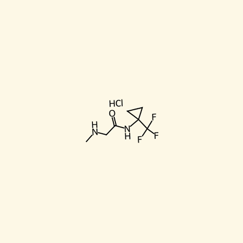 CNCC(=O)NC1(C(F)(F)F)CC1.Cl